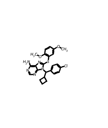 COc1ccc(OC)c(Sc2nc3c(N)ncnc3n2C(c2ccc(Cl)cc2)C2CCC2)c1